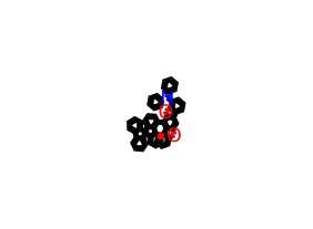 c1ccc(N(c2ccccc2)c2cccc3c2oc2c(-c4cccc5c4-c4ccccc4C54c5ccccc5-c5ccccc54)c4c(cc23)oc2ccccc24)cc1